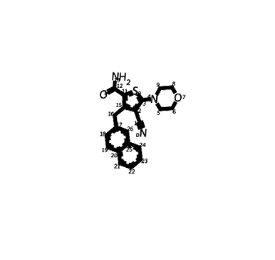 N#Cc1c(N2CCOCC2)sc(C(N)=O)c1Cc1ccc2ccccc2c1